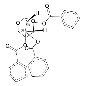 O=C(O[C@H]1C2OCC(OC(=O)c3ccccc3)(CO2)[C@H]1OC(=O)c1ccccc1)c1ccccc1